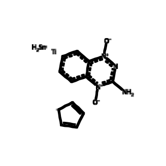 Nc1n[n+]([O-])c2ccccc2[n+]1[O-].[CH]1C=CC=C1.[SnH2].[Ti]